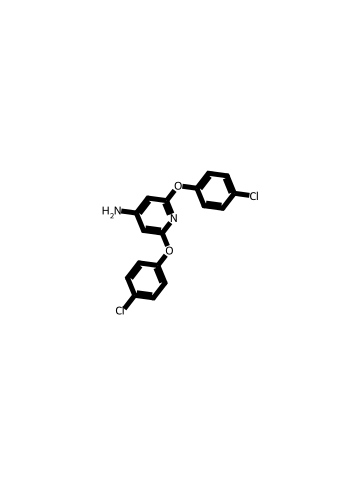 Nc1cc(Oc2ccc(Cl)cc2)nc(Oc2ccc(Cl)cc2)c1